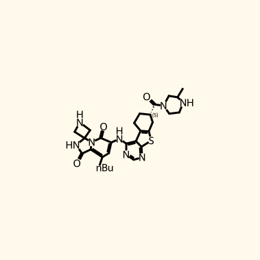 CCCCc1cc(Nc2ncnc3sc4c(c23)CC[C@H](C(=O)N2CCNC(C)C2)C4)c(=O)n2c1C(=O)NC21CNC1